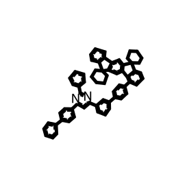 c1ccc(-c2ccc(-c3cc(-c4cccc(-c5ccc(-c6cccc7c6-c6cc8c(cc6C76CCCCC6)-c6ccccc6C86CCCCC6)cc5)c4)nc(-c4ccccc4)n3)cc2)cc1